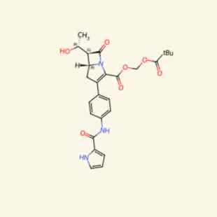 C[C@@H](O)[C@H]1C(=O)N2C(C(=O)OCOC(=O)C(C)(C)C)=C(c3ccc(NC(=O)c4ccc[nH]4)cc3)C[C@H]12